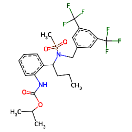 CCCC(c1ccccc1NC(=O)OC(C)C)N(Cc1cc(C(F)(F)F)cc(C(F)(F)F)c1)S(C)(=O)=O